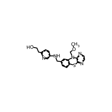 COCN1c2cc(CNc3ccc(CCO)nc3)ccc2Sc2nccnc21